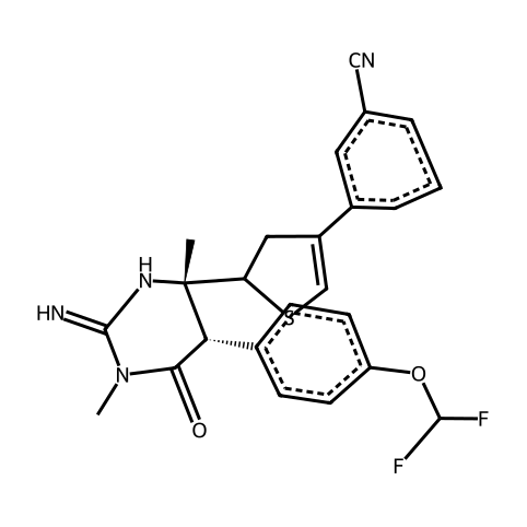 CN1C(=N)N[C@](C)(C2CC(c3cccc(C#N)c3)=CS2)[C@H](c2ccc(OC(F)F)cc2)C1=O